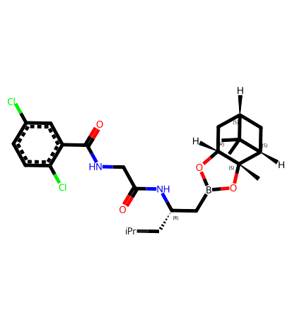 CC(C)C[C@@H](CB1O[C@@H]2C[C@@H]3C[C@@H](C3(C)C)[C@]2(C)O1)NC(=O)CNC(=O)c1cc(Cl)ccc1Cl